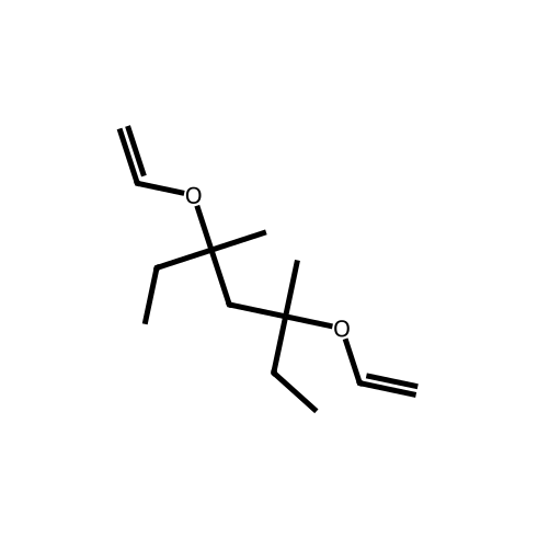 C=COC(C)(CC)CC(C)(CC)OC=C